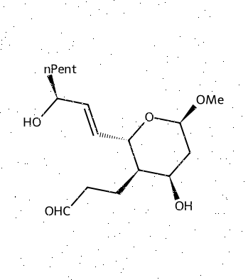 CCCCC[C@H](O)C=C[C@@H]1O[C@@H](OC)C[C@@H](O)[C@H]1CCC=O